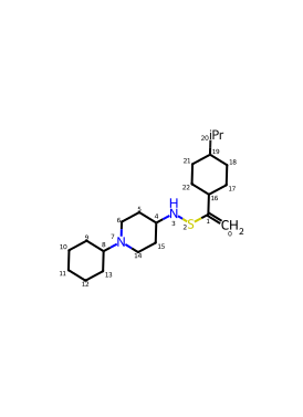 C=C(SNC1CCN(C2CCCCC2)CC1)C1CCC(C(C)C)CC1